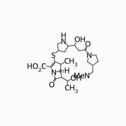 CNCC1CCN(C(=O)CC(O)C2CC(SC3=C(C(=O)O)N4C(=O)C(C(C)O)[C@@H]4C3C)CN2)C1